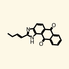 CC/C=C/c1nc2ccc3c(c2[nH]1)C(=O)c1ccccc1C3=O